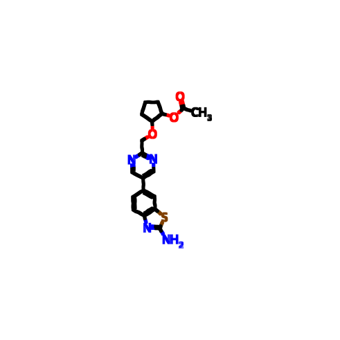 CC(=O)OC1CCCC1OCc1ncc(-c2ccc3nc(N)sc3c2)cn1